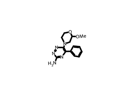 COC1CN(c2nnc(N)nc2-c2ccccc2)CCO1